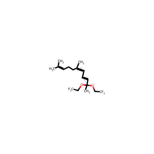 CC(C)=CCC/C(C)=C\C=C\C(C)(OCC(F)(F)F)OCC(F)(F)F